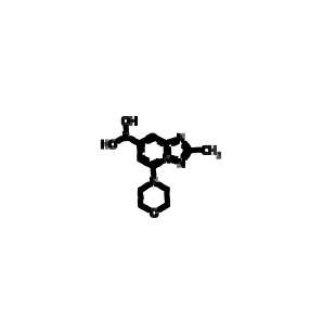 Cc1nc2cc(B(O)O)cc(N3CCOCC3)n2n1